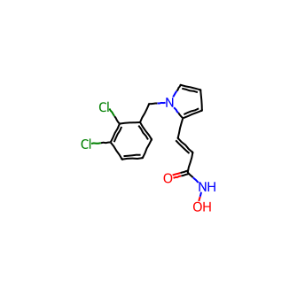 O=C(/C=C/c1cccn1Cc1cccc(Cl)c1Cl)NO